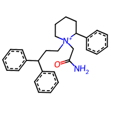 NC(=O)C[N+]1(CCC(c2ccccc2)c2ccccc2)CCCCC1c1ccccc1